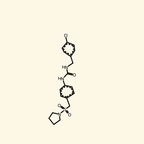 O=C(NCc1ccc(Cl)cc1)Nc1ccc(CS(=O)(=O)N2CCCC2)cc1